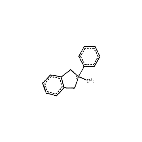 C[Si]1(c2ccccc2)Cc2ccccc2C1